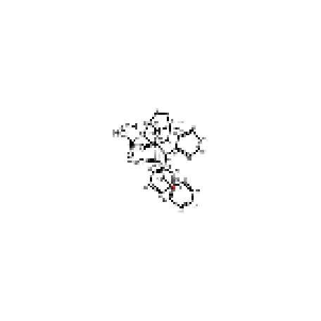 O=C(O)[C@@H]1[C@H]2CC[C@@H](CN1C(=O)NCc1ccccc1)N2C(=O)C(c1ccccc1)c1ccccc1